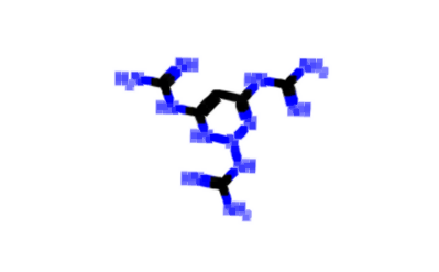 N=C(N)NC1=CC(NC(=N)N)=NN(NC(=N)N)N1